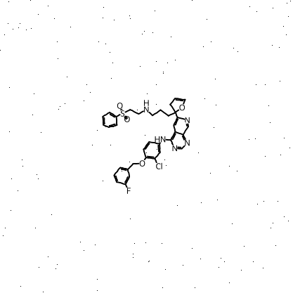 O=S(=O)(CCNCCCC1(c2cc3c(Nc4ccc(OCc5cccc(F)c5)c(Cl)c4)ncnc3cn2)CC=CO1)c1ccccc1